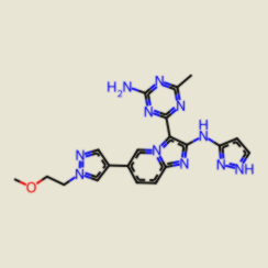 COCCn1cc(-c2ccc3nc(Nc4cc[nH]n4)c(-c4nc(C)nc(N)n4)n3c2)cn1